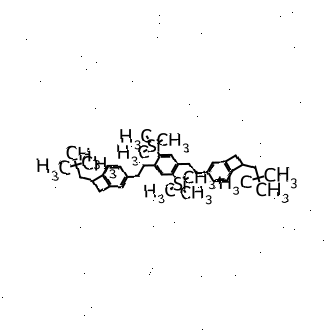 CC(C)(C)CC1Cc2cc(CCc3cc([Si](C)(C)C)c(CCc4ccc5c(c4)CC5CC(C)(C)C)cc3[Si](C)(C)C)ccc21